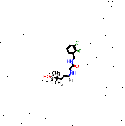 CC[C@H](CCC(C)(C)[Si](C)(C)O)NCC(=O)NCc1cccc(Cl)c1F